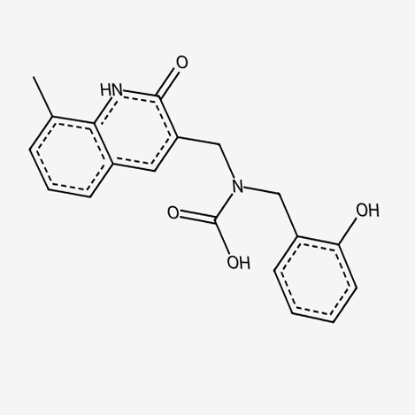 Cc1cccc2cc(CN(Cc3ccccc3O)C(=O)O)c(=O)[nH]c12